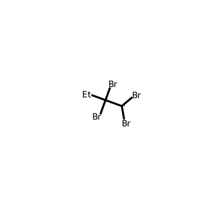 CCC(Br)(Br)[C](Br)Br